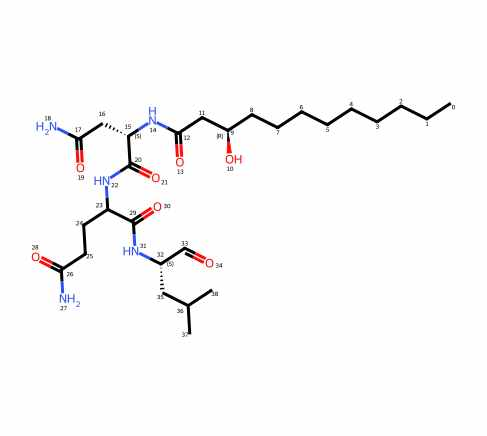 CCCCCCCCC[C@@H](O)CC(=O)N[C@@H](CC(N)=O)C(=O)NC(CCC(N)=O)C(=O)N[C@H](C=O)CC(C)C